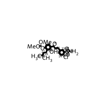 COCOc1cc(OC)c(C(=O)/C=C/c2ccc(Cl)c(S(N)(=O)=O)c2)c(O)c1CC=C(C)C